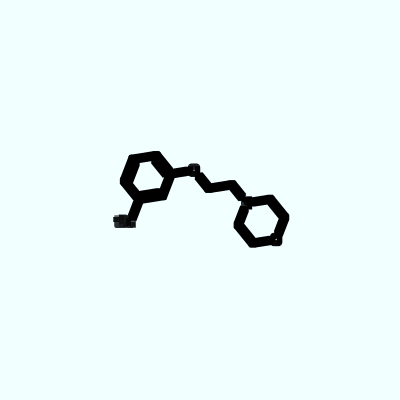 CC(C)(C)c1cccc(OCCN2CCOCC2)c1